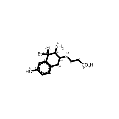 CCC1(CC)c2cc(O)ccc2CC(SCCC(=O)O)C1N